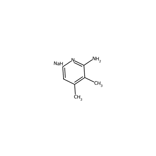 Cc1ccnc(N)c1C.[NaH]